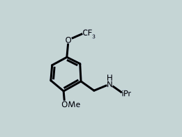 COc1ccc(OC(F)(F)F)cc1CNC(C)C